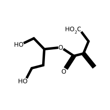 C=C(CC(=O)O)C(=O)OC(CO)CCO